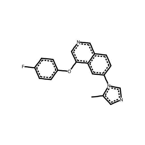 Cc1cncn1-c1ccc2cncc(Oc3ccc(F)cc3)c2c1